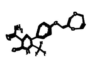 NC(=O)c1cc(-c2ccc(OCC3=COCC#CO3)cc2)c(C(F)(F)F)[nH]c1=O